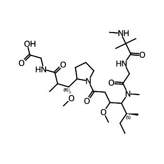 CC[C@H](C)C(C(CC(=O)N1CCCC1[C@H](OC)C(C)C(=O)NCC(=O)O)OC)N(C)C(=O)CNC(=O)C(C)(C)NC